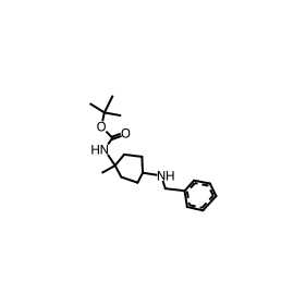 CC1(NC(=O)OC(C)(C)C)CCC(NCc2ccccc2)CC1